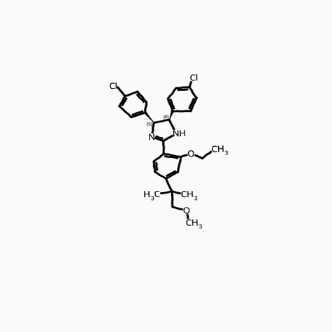 CCOc1cc(C(C)(C)COC)ccc1C1=N[C@@H](c2ccc(Cl)cc2)[C@@H](c2ccc(Cl)cc2)N1